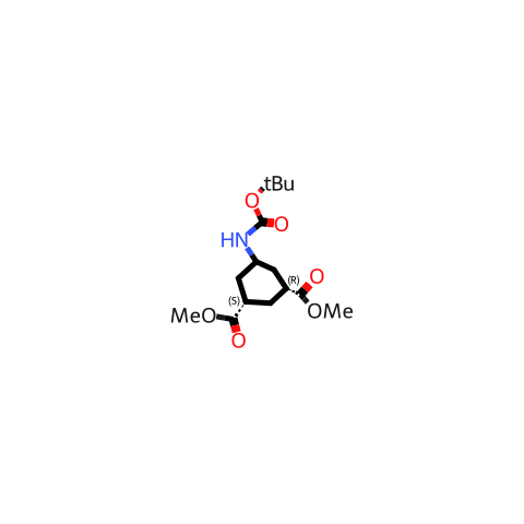 COC(=O)[C@@H]1CC(NC(=O)OC(C)(C)C)C[C@H](C(=O)OC)C1